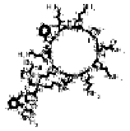 CC[C@H](C)[C@H](N)C(=O)N[C@@H](CC(C)C)C(=O)N[C@@H](CCCCn1cc(C[C@@H]2NC(=O)[C@H](CCCCN)NC(=O)[C@H](CCCCN)NC(=O)[C@H](CCC(N)=O)NC(=O)[C@H](CC(C)C)NC(=O)[C@H](CCCCN)NC(=O)[C@H](CCCCN)NC(=O)[C@H](Cc3ccccc3)NC(=O)[C@H](CCCCN)NC(=O)[C@H](CCCCN)NC2=O)nn1)C(=O)N[C@@H](Cc1ccccc1)C(=O)N[C@@H](CC(C)C)C(N)=O